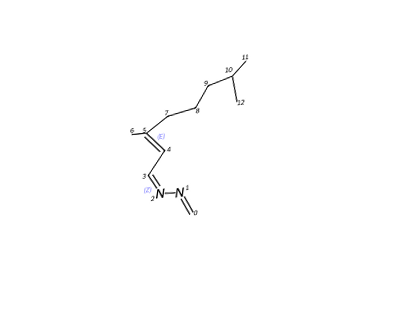 C=N/N=C\C=C(/C)CCCC(C)C